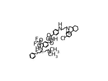 CN(C)CC[C@H](CSc1ccccc1)Nc1ccc(S(=O)(=O)NC(=O)c2ccc(NCCNCC3=C(c4ccc(Cl)cc4)CCCC3)cc2)cc1S(=O)(=O)C(F)F